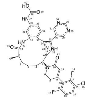 C[C@@H]1CCC[C@H](N2CCC(c3c(F)ccc(Cl)c3F)=CC2=O)c2nc(c(-c3cncnc3)[nH]2)-c2ccc(NC(=O)O)cc2NC1=O